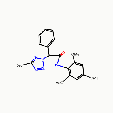 CCCCCCCCCCc1nnn(C(C(=O)Nc2c(OC)cc(OC)cc2OC)c2ccccc2)n1